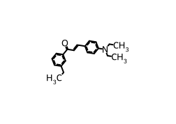 CCc1cccc(C(=O)C=Cc2ccc(N(CC)CC)cc2)c1